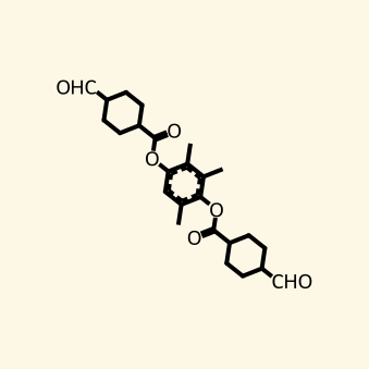 Cc1cc(OC(=O)C2CCC(C=O)CC2)c(C)c(C)c1OC(=O)C1CCC(C=O)CC1